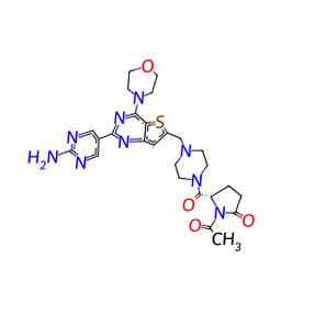 CC(=O)N1C(=O)CC[C@H]1C(=O)N1CCN(Cc2cc3nc(-c4cnc(N)nc4)nc(N4CCOCC4)c3s2)CC1